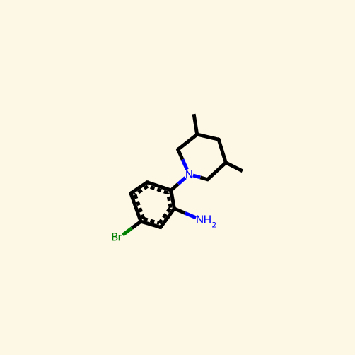 CC1CC(C)CN(c2ccc(Br)cc2N)C1